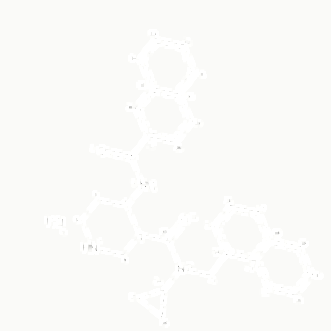 Cl.O=C(NC1CCNCC1C(=O)N(Cc1cccc2ccccc12)C1CC1)c1ccc2ccccc2c1